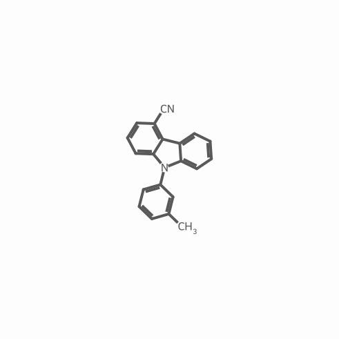 Cc1cccc(-n2c3ccccc3c3c(C#N)cccc32)c1